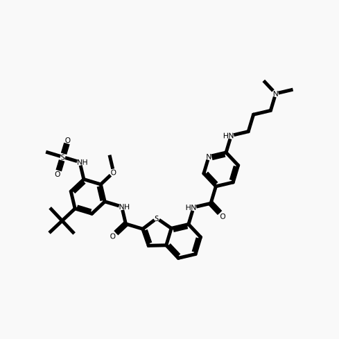 COc1c(NC(=O)c2cc3cccc(NC(=O)c4ccc(NCCCN(C)C)nc4)c3s2)cc(C(C)(C)C)cc1NS(C)(=O)=O